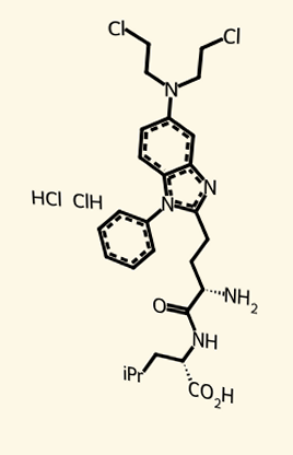 CC(C)C[C@H](NC(=O)[C@@H](N)CCc1nc2cc(N(CCCl)CCCl)ccc2n1-c1ccccc1)C(=O)O.Cl.Cl